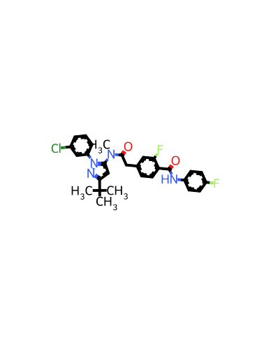 CN(C(=O)Cc1ccc(C(=O)Nc2ccc(F)cc2)c(F)c1)c1cc(C(C)(C)C)nn1-c1cccc(Cl)c1